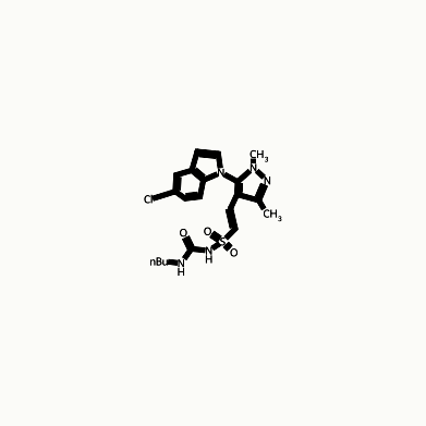 CCCCNC(=O)NS(=O)(=O)/C=C/c1c(C)nn(C)c1-n1ccc2cc(Cl)ccc21